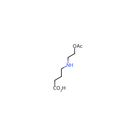 CC(=O)OCCNCCCC(=O)O